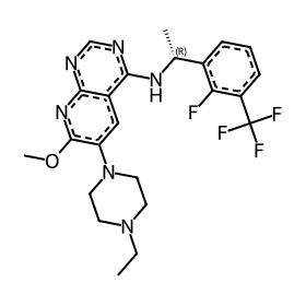 CCN1CCN(c2cc3c(N[C@H](C)c4cccc(C(F)(F)F)c4F)ncnc3nc2OC)CC1